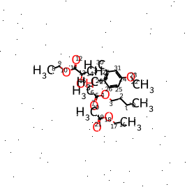 CCCCOC(C)=O.CCOC(=O)C(C)O.CCOC(C)=O.COc1ccc(C)c(C)c1